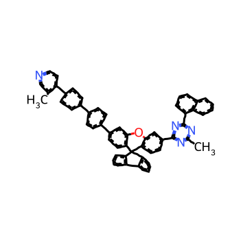 Cc1nc(-c2ccc3c(c2)Oc2cc(-c4ccc(-c5ccc(-c6ccncc6C)cc5)cc4)ccc2C32c3ccccc3-c3ccccc32)nc(-c2cccc3ccccc23)n1